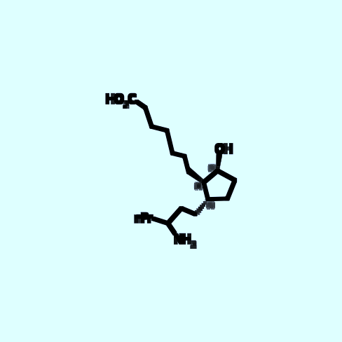 CCCC(N)CC[C@H]1CC[C@H](O)[C@@H]1CCCCCCC(=O)O